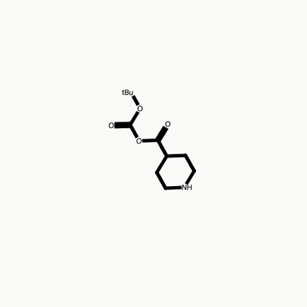 CC(C)(C)OC(=O)OC(=O)C1CCNCC1